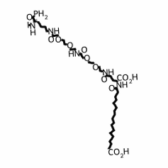 O=C(O)CCCCCCCCCCCCCCCCC(=O)NC(CCC(=O)NCCOCCOCC(=O)NCCOCCOCC(=O)NCCCC[C@@H](NI)C(=O)P)C(=O)O